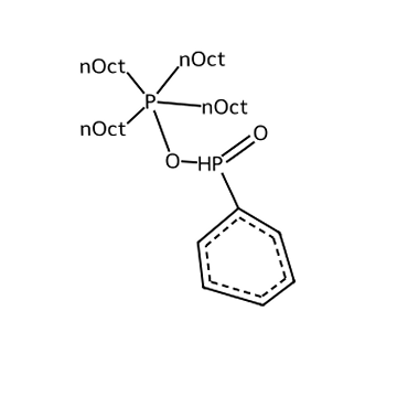 CCCCCCCCP(CCCCCCCC)(CCCCCCCC)(CCCCCCCC)O[PH](=O)c1ccccc1